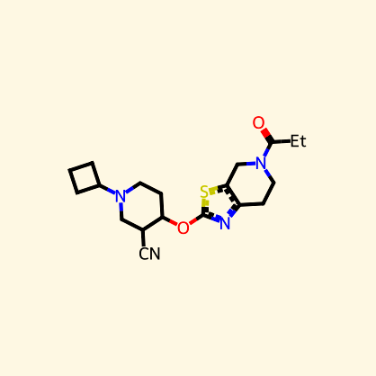 CCC(=O)N1CCc2nc(OC3CCN(C4CCC4)CC3C#N)sc2C1